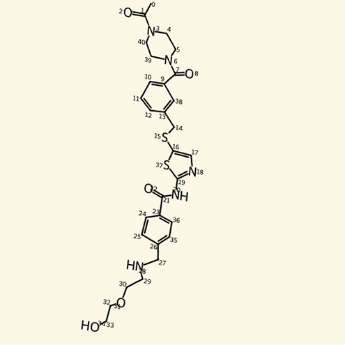 CC(=O)N1CCN(C(=O)c2cccc(CSc3cnc(NC(=O)c4ccc(CNCCOCCO)cc4)s3)c2)CC1